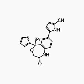 CC(C)C1(c2cccs2)OCC(=O)Nc2ccc(-c3ccc(C#N)[nH]3)cc21